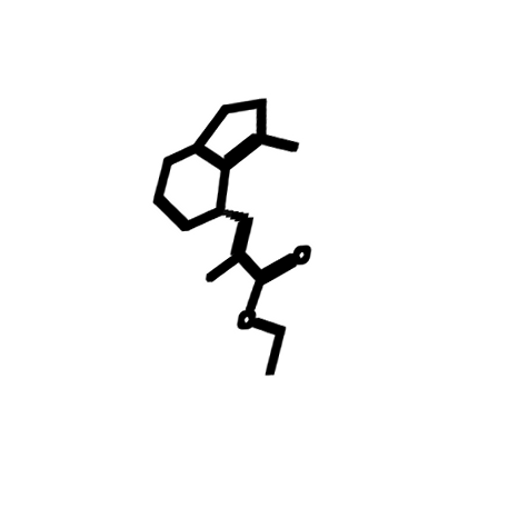 CCOC(=O)/C(C)=C/[C@@H]1CCCC2CCC(C)=C21